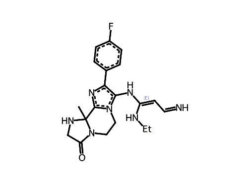 CCN/C(=C\C=N)Nc1c(-c2ccc(F)cc2)nc2n1CCN1C(=O)CNC21C